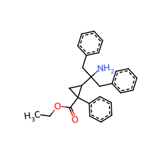 CCOC(=O)C1(c2ccccc2)CC1C(N)(Cc1ccccc1)Cc1ccccc1